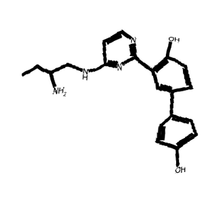 CCC(N)CNc1ccnc(-c2cc(-c3ccc(O)cc3)ccc2O)n1